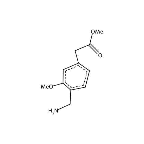 COC(=O)Cc1ccc(CN)c(OC)c1